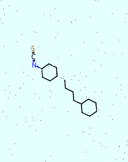 S=C=N[C@H]1CC[C@H](CCCCC2CCCCC2)CC1